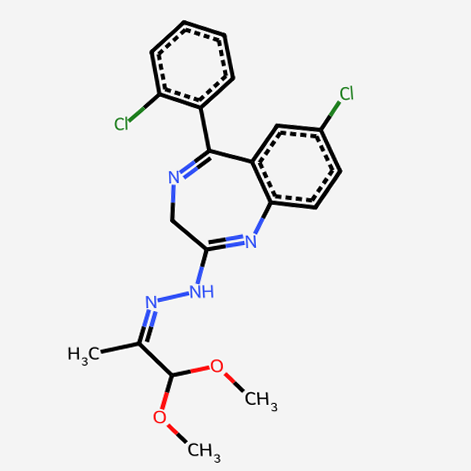 COC(OC)C(C)=NNC1=Nc2ccc(Cl)cc2C(c2ccccc2Cl)=NC1